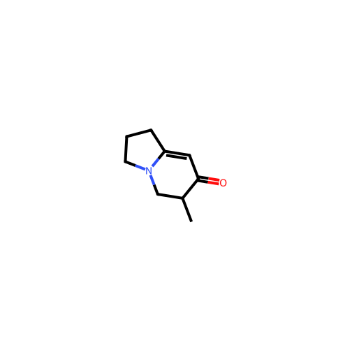 CC1CN2CCCC2=CC1=O